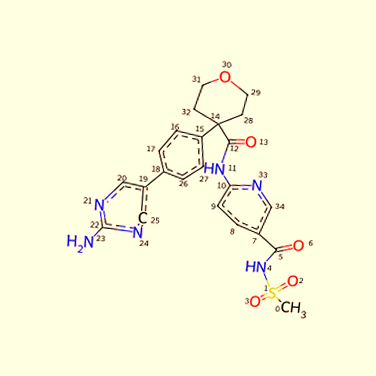 CS(=O)(=O)NC(=O)c1ccc(NC(=O)C2(c3ccc(-c4cnc(N)nc4)cc3)CCOCC2)nc1